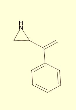 C=C(c1ccccc1)C1CN1